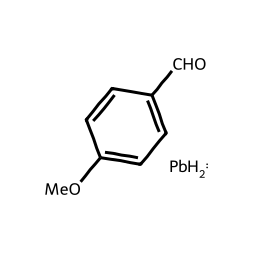 COc1ccc(C=O)cc1.[PbH2]